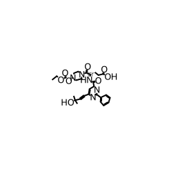 CCOC(=O)ON1CCN(C(=O)[C@H](CCC(=O)O)NC(=O)c2cc(C#CC(C)(C)O)nc(-c3ccccc3)n2)CC1